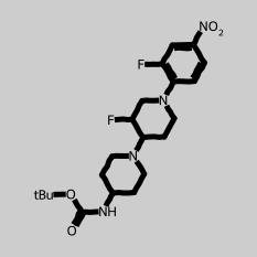 CC(C)(C)OC(=O)NC1CCN(C2CCN(c3ccc([N+](=O)[O-])cc3F)CC2F)CC1